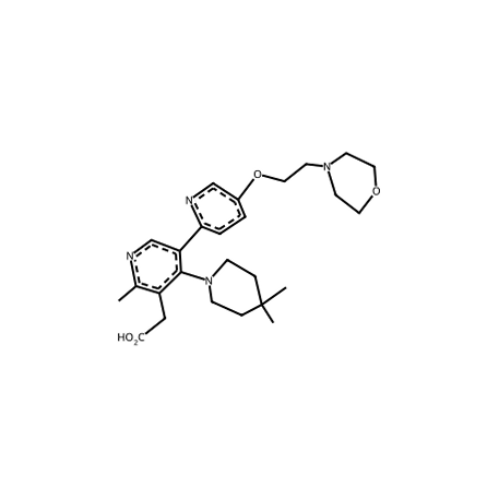 Cc1ncc(-c2ccc(OCCN3CCOCC3)cn2)c(N2CCC(C)(C)CC2)c1CC(=O)O